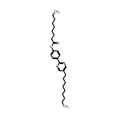 CCCCCCCCCc1cnc(-c2ccc(OC(=O)CCCCCCCC)cc2)nc1